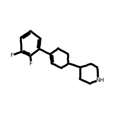 Fc1cccc(C2=CCC(C3CCNCC3)CC2)c1F